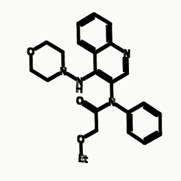 CCOCC(=O)N(c1ccccc1)c1cnc2ccccc2c1NN1CCOCC1